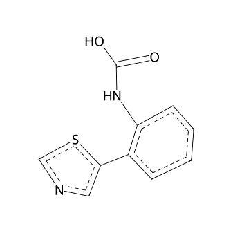 O=C(O)Nc1ccccc1-c1cncs1